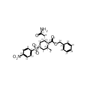 C[C@H]1CN(S(=O)(=O)c2ccc([N+](=O)[O-])cc2)C[C@H](CC(N)=O)N1C(=O)OCc1ccccc1